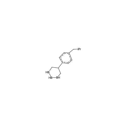 CC(C)Cc1ccc(C2CBBBC2)cc1